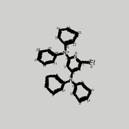 CCc1cc(N(c2ccccc2)c2ccccc2)cc(N(c2ccccc2)c2ccccc2)n1